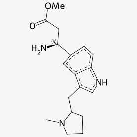 COC(=O)C[C@H](N)c1ccc2[nH]cc(CC3CCCN3C)c2c1